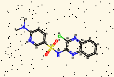 CN(C)c1ccc(S(=O)(=O)Nc2nc3ccccc3nc2Cl)cn1